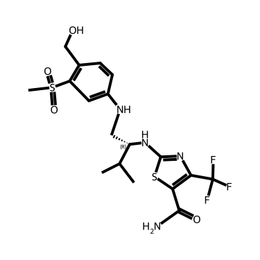 CC(C)[C@H](CNc1ccc(CO)c(S(C)(=O)=O)c1)Nc1nc(C(F)(F)F)c(C(N)=O)s1